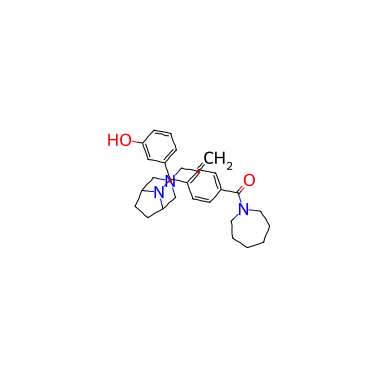 C=CCN1CC2CCC(C1)N2C(c1ccc(C(=O)N2CCCCCC2)cc1)c1cccc(O)c1